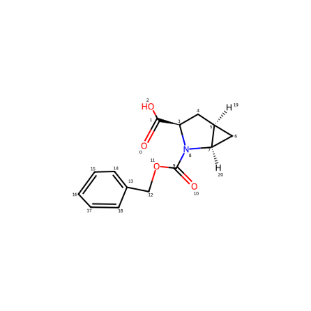 O=C(O)[C@H]1C[C@H]2C[C@H]2N1C(=O)OCc1ccccc1